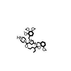 CCCC(CC)C(=O)N(Cc1cccc(OC)c1)C1CC(C(=O)N2CCNCC2)N(Cc2ccc(OC)c(OC)c2OC)C1